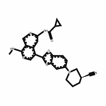 CNc1ncc(-c2nc3cc(N4CCC[C@H](C#N)C4)ccc3o2)c2cc(NC(=O)C3CC3)ncc12